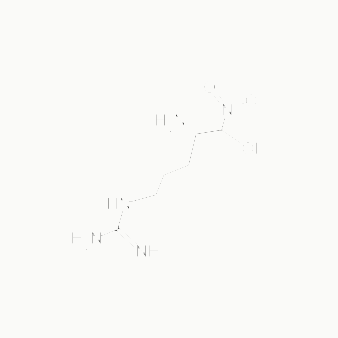 N=C(N)NCCC[C@H](N)C(O)[N+](=O)[O-]